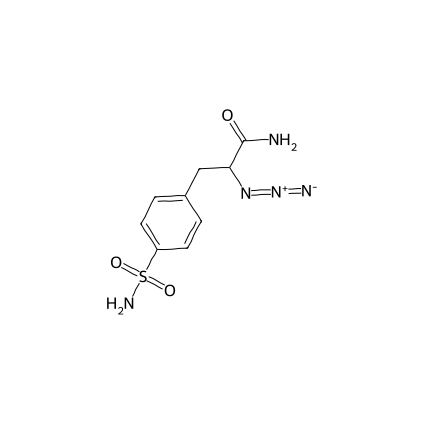 [N-]=[N+]=NC(Cc1ccc(S(N)(=O)=O)cc1)C(N)=O